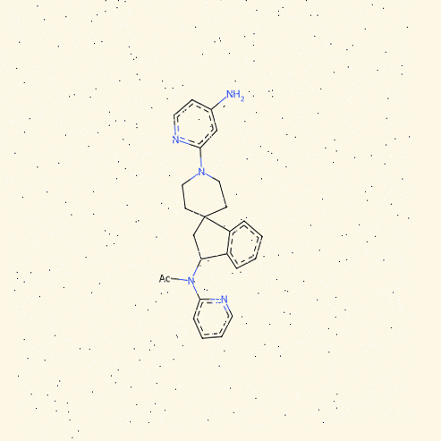 CC(=O)N(c1ccccn1)C1CC2(CCN(c3cc(N)ccn3)CC2)c2ccccc21